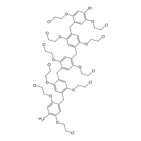 CCc1cc(OCCCl)c(Cc2cc(OCCCl)c(Cc3cc(OCCCl)c(Cc4cc(OCCCl)c(Cc5cc(OCCCl)c(C)cc5OCCCl)cc4OCCCl)cc3OCCCl)cc2OCCCl)cc1OCCCl